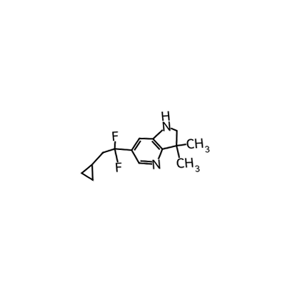 CC1(C)CNc2cc(C(F)(F)CC3CC3)cnc21